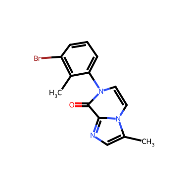 Cc1c(Br)cccc1-n1ccn2c(C)cnc2c1=O